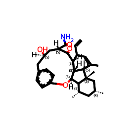 C=CC1C=C(C)[C@H]2[C@@H]3[C@H](Oc4ccc(cc4)C[C@@H](O)C[C@H](C(N)=O)C(=O)[C@@H]13)C1[C@@H](C)C[C@@H](C)C[C@]12C